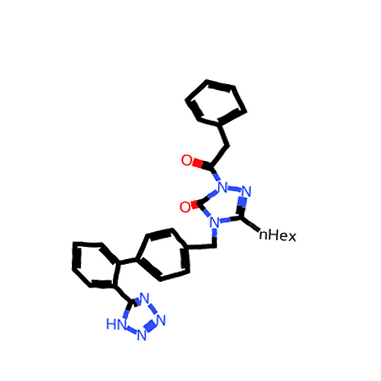 CCCCCCc1nn(C(=O)Cc2ccccc2)c(=O)n1Cc1ccc(-c2ccccc2-c2nnn[nH]2)cc1